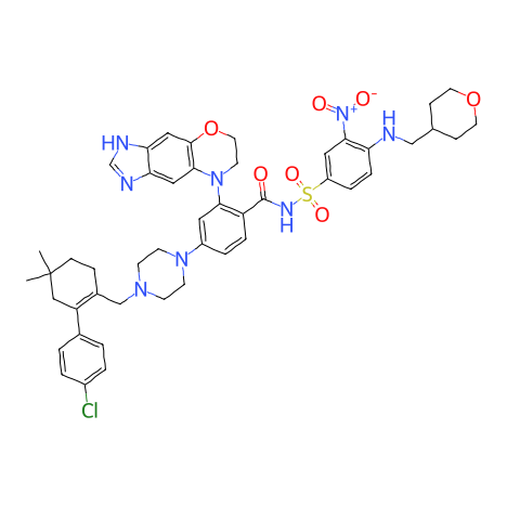 CC1(C)CCC(CN2CCN(c3ccc(C(=O)NS(=O)(=O)c4ccc(NCC5CCOCC5)c([N+](=O)[O-])c4)c(N4CCOc5cc6[nH]cnc6cc54)c3)CC2)=C(c2ccc(Cl)cc2)C1